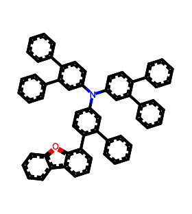 c1ccc(-c2ccc(N(c3ccc(-c4ccccc4)c(-c4ccccc4)c3)c3ccc(-c4cccc5c4oc4ccccc45)c(-c4ccccc4)c3)cc2-c2ccccc2)cc1